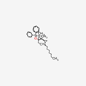 CCCCCCCCC1CC1C[C](CC)O[Si](c1ccccc1)(c1ccccc1)C(C)(C)C